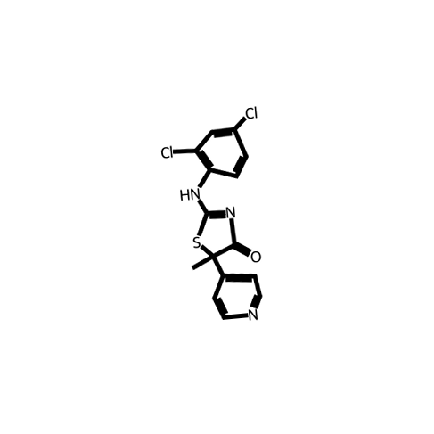 CC1(c2ccncc2)SC(Nc2ccc(Cl)cc2Cl)=NC1=O